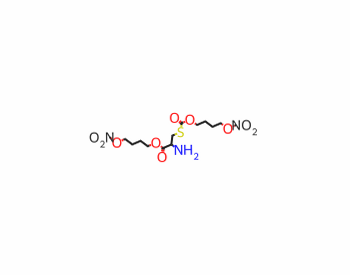 NC(CSC(=O)OCCCCO[N+](=O)[O-])C(=O)OCCCCO[N+](=O)[O-]